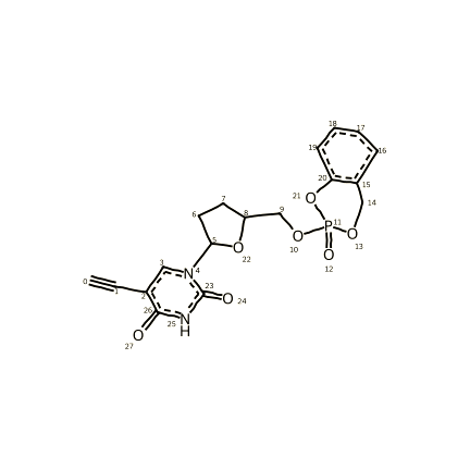 C#Cc1cn(C2CCC(COP3(=O)OCc4ccccc4O3)O2)c(=O)[nH]c1=O